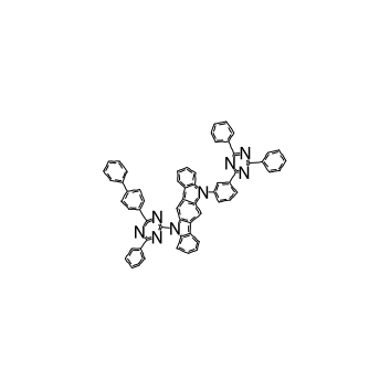 c1ccc(-c2ccc(-c3nc(-c4ccccc4)nc(-n4c5ccccc5c5cc6c(cc54)c4ccccc4n6-c4cccc(-c5nc(-c6ccccc6)nc(-c6ccccc6)n5)c4)n3)cc2)cc1